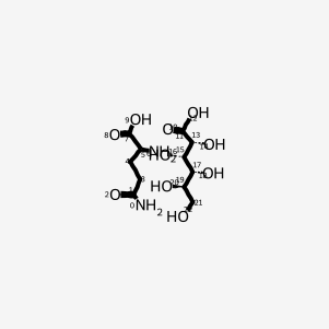 NC(=O)CCC(N)C(=O)O.O=C(O)[C@H](O)[C@@H](O)[C@H](O)[C@H](O)CO